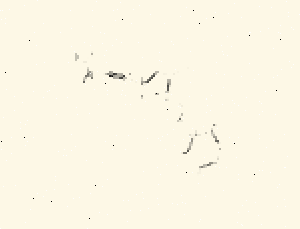 Cc1cc(C#CC(=O)O)oc1COc1ccccc1